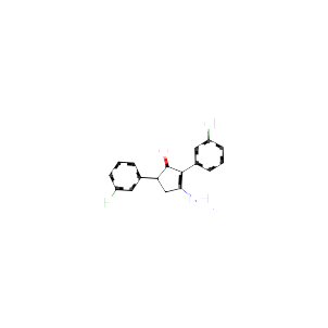 NC1=C(c2cccc(Cl)c2)C(=O)C(c2cccc(F)c2)C1